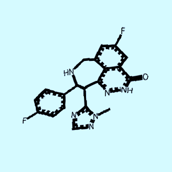 Cn1ncnc1C1c2n[nH]c(=O)c3cc(F)cc(c23)CNC1c1ccc(F)cc1